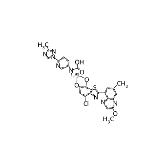 COc1cnc2c(-c3nc4c(Cl)cc5c(c4s3)OC[C@@H](CN(C(=O)O)c3ccc(-n4cnc(C)n4)nc3)O5)cc(C)cc2n1